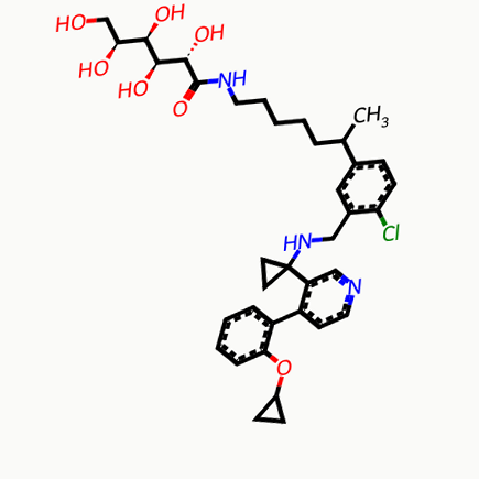 CC(CCCCCNC(=O)[C@@H](O)[C@@H](O)[C@H](O)[C@@H](O)CO)c1ccc(Cl)c(CNC2(c3cnccc3-c3ccccc3OC3CC3)CC2)c1